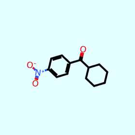 O=C(c1ccc([N+](=O)[O-])cc1)C1CCCCC1